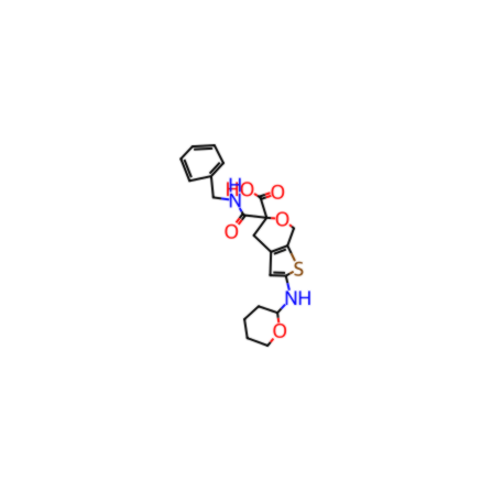 O=C(O)C1(C(=O)NCc2ccccc2)Cc2cc(NC3CCCCO3)sc2CO1